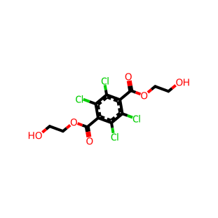 O=C(OCCO)c1c(Cl)c(Cl)c(C(=O)OCCO)c(Cl)c1Cl